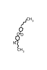 CCCCCC[C@H]1CC[C@H](C(=O)O[C@H]2CC[C@@](C#N)(CCCCC)CC2)CC1